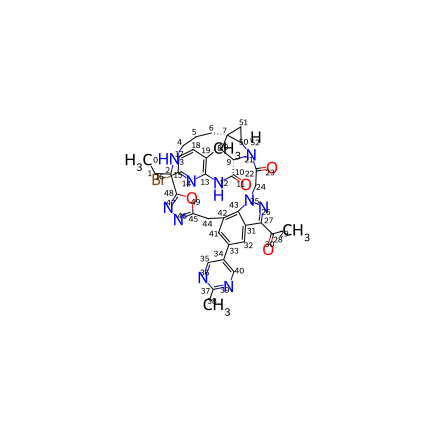 CCC1NCCC[C@@]23C[C@@H](C(=O)Nc4nc(Br)ccc4C)N(C(=O)Cn4nc(C(C)=O)c5cc(-c6cnc(C)nc6)cc(c54)Cc4nnc1o4)[C@@H]2C3